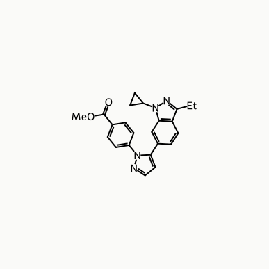 CCc1nn(C2CC2)c2cc(-c3ccnn3-c3ccc(C(=O)OC)cc3)ccc12